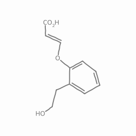 O=C(O)C=COc1ccccc1CCO